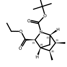 CCOC(=O)[C@@H]1[C@@H]2C[C@@H]([C@@H](C)[C@H]2C)N1C(=O)OC(C)(C)C